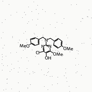 COc1ccc(CN(Cc2ccc(OC)cc2)c2nc(Cl)c(O)c(OC)n2)cc1